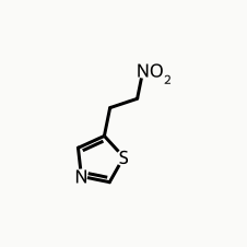 O=[N+]([O-])CCc1cncs1